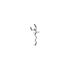 C=CCC/C=C(\C)N(C=C)C=C